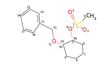 CS(=O)(=O)O[C@@H]1CCCC[C@@H]1OCc1ccccc1